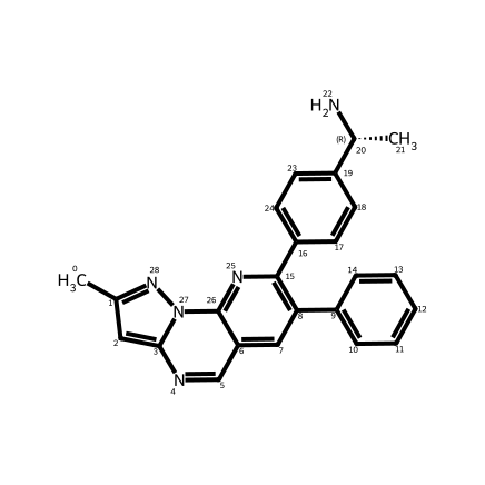 Cc1cc2ncc3cc(-c4ccccc4)c(-c4ccc([C@@H](C)N)cc4)nc3n2n1